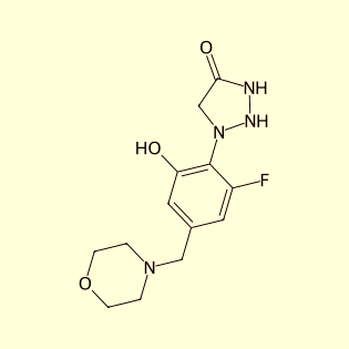 O=C1CN(c2c(O)cc(CN3CCOCC3)cc2F)NN1